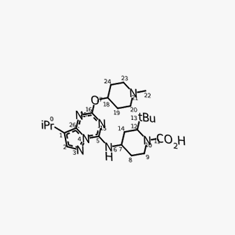 CC(C)c1cnn2c(NC3CCN(C(=O)O)C(C(C)(C)C)C3)nc(OC3CCN(C)CC3)nc12